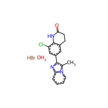 Br.Cc1c(-c2cc(Cl)c3c(c2)CCC(=O)N3)nc2ccccn12.O